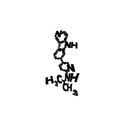 CC(C)Nc1ccc(-c2ccc3c(c2)[nH]c2ccncc23)cn1